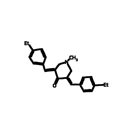 CCc1ccc(C=C2CN(C)CC(=Cc3ccc(CC)cc3)C2=O)cc1